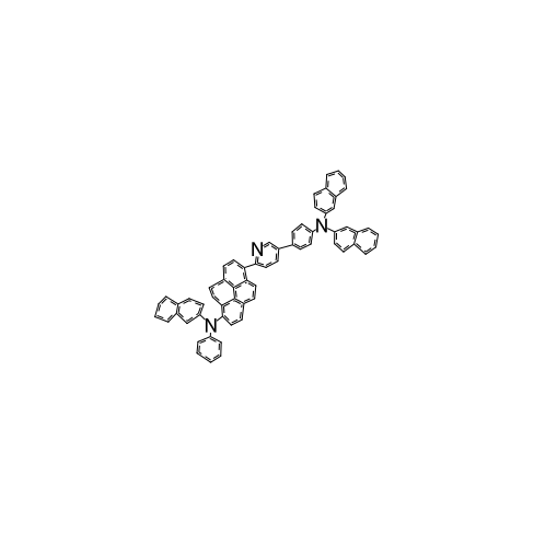 c1ccc(N(c2ccc3ccccc3c2)c2ccc3ccc4c(-c5ccc(-c6ccc(N(c7ccc8ccccc8c7)c7ccc8ccccc8c7)cc6)cn5)ccc5ccc2c3c54)cc1